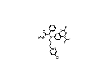 CNC(=O)[C@H](c1ccccc1)N(CCCc1ccc(Cl)cn1)c1ccc(OC(F)F)c(OC(F)F)c1